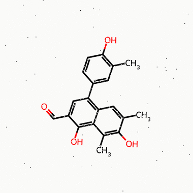 Cc1cc(-c2cc(C=O)c(O)c3c(C)c(O)c(C)cc23)ccc1O